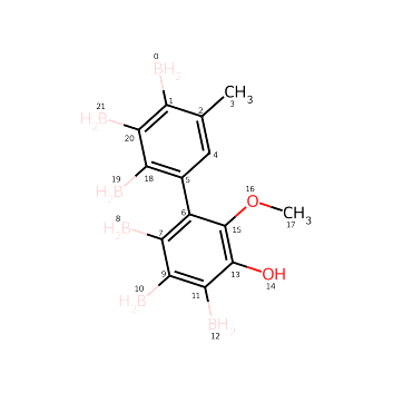 Bc1c(C)cc(-c2c(B)c(B)c(B)c(O)c2OC)c(B)c1B